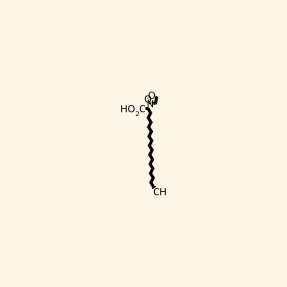 C#CCCCCCCCCCCCCCCCCC(C(=O)O)N1CCOO1